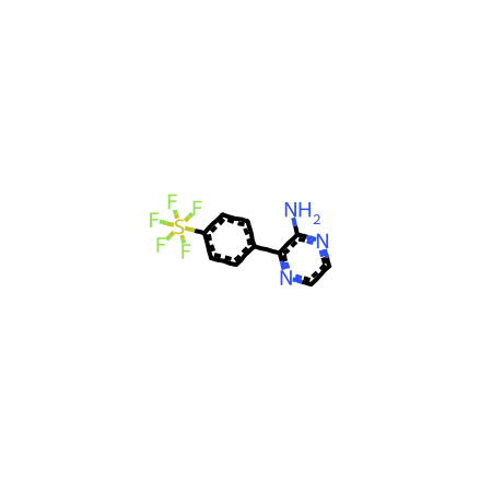 Nc1nccnc1-c1ccc(S(F)(F)(F)(F)F)cc1